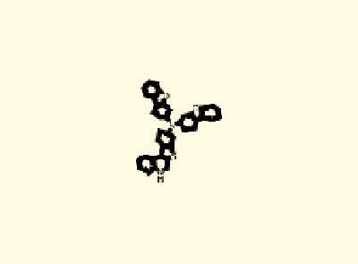 c1ccc2c(c1)NCc1sc3cc(N(c4ccc5c(c4)oc4ccccc45)c4ccc5c(c4)oc4ccccc45)ccc3c1-2